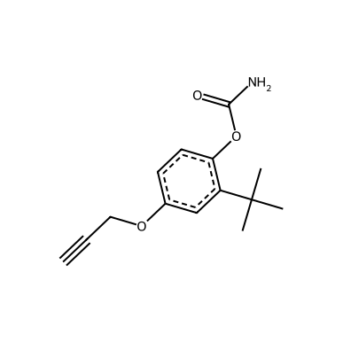 C#CCOc1ccc(OC(N)=O)c(C(C)(C)C)c1